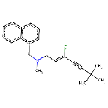 CN(CC=C(Cl)C#CC(C)(C)C)Cc1cccc2ccccc12